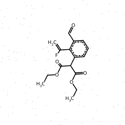 C=C(F)c1c(C=O)cccc1C(C(=O)OCC)C(=O)OCC